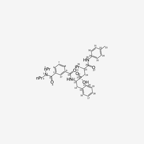 CCCN(CCC)C(=O)c1cccc(C(=O)NC(Cc2ccccc2)P(=O)(O)CC(C(=O)Nc2ccc(C)cc2)C(C)C)c1